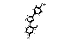 Oc1ccc(-c2cc(-c3ccc(F)cc3F)on2)cc1